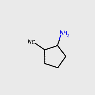 N#CC1CCCC1N